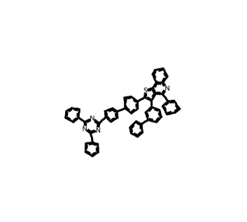 c1ccc(-c2cccc(-c3c(-c4ccc(-c5ccc(-c6nc(-c7ccccc7)nc(-c7ccccc7)n6)cc5)cc4)sc4c3c(-c3ccccc3)nc3ccccc34)c2)cc1